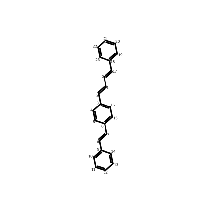 C(/C=C/c1ccc(/C=C/c2ccccc2)cc1)=C\c1ccccc1